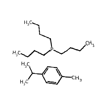 CCCCP(CCCC)CCCC.Cc1ccc(C(C)C)cc1